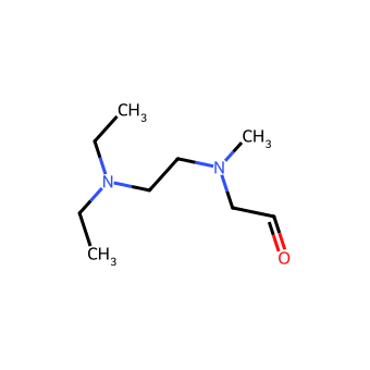 CCN(CC)CCN(C)CC=O